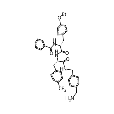 CCOc1ccc(C[C@@H](NC(=O)c2ccccc2)C(=O)N[C@@H](Cc2ccc(C(F)(F)F)cc2)C(=O)NCc2ccc(CN)cc2)cc1